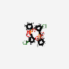 O=C1c2cc(Cl)ccc2OP(=O)(c2ccccc2)C(=O)c2cc(Cl)ccc2OP1(=O)c1ccccc1